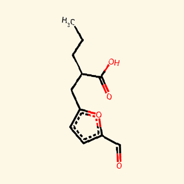 CCCC(Cc1ccc(C=O)o1)C(=O)O